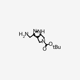 CC(C)(C)OC(=O)N1Cc2[nH]nc(CN)c2C1